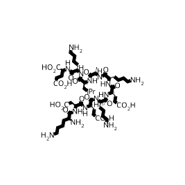 CC(C)C[C@H](NC(=O)[C@H](C)NC(=O)[C@H](CCCCN)NC(=O)[C@H](CCC(=O)O)NC(=O)[C@H](CCCCN)NC(=O)[C@H](CCC(=O)O)NC(=O)[C@H](CC(=O)O)NC(=O)[C@@H](N)CCCCN)C(=O)N[C@@H](CCCCN)C(=O)N[C@@H](CCC(=O)O)C(=O)O